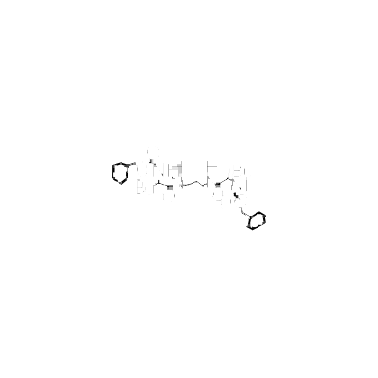 CCC(C)C(NC(=O)OCc1ccccc1)C(=O)NCCCNC(=O)C(NC(=O)OCc1ccccc1)C(C)CC